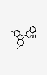 Cc1ccc2c(c1)c1c(n2C2CNc3ccccc3C2)CCN(C)C1